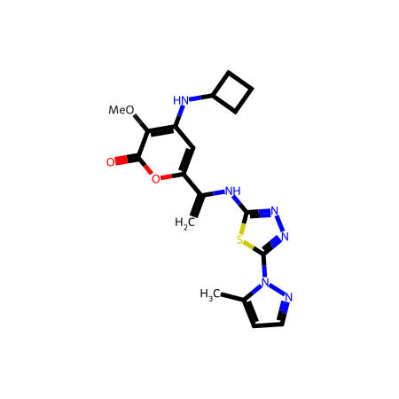 C=C(Nc1nnc(-n2nccc2C)s1)c1cc(NC2CCC2)c(OC)c(=O)o1